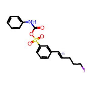 O=C(Nc1ccccc1)OS(=O)(=O)c1cccc(/C=C/CCCI)c1